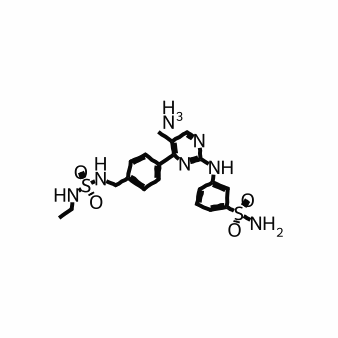 CCNS(=O)(=O)NCc1ccc(-c2nc(Nc3cccc(S(N)(=O)=O)c3)ncc2C)cc1.N